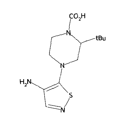 CC(C)(C)C1CN(c2sncc2N)CCN1C(=O)O